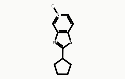 [O-][n+]1ccc2sc(C3CCCC3)nc2c1